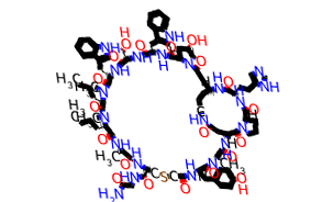 CCCC[C@H]1C(=O)N(C)[C@@H](CCCC)C(=O)N[C@@H](C)C(=O)N[C@H](C(=O)NCC(N)=O)CSCC(=O)N[C@H]2Cc3ccc(O)cc3N(C2=O)[C@@H](C)C(=O)N[C@H]2CC(=O)NCCC[C@H](NC(=O)[C@H](CCc3cnc[nH]3)NC(=O)[C@@H]3CCCN3C2=O)C(=O)N2C[C@H](O)C[C@H]2C(=O)N[C@@H](Cc2c[nH]c3ccccc23)C(=O)N[C@@H](CO)C(=O)N[C@@H](Cc2c[nH]c3ccccc23)C(=O)N1C